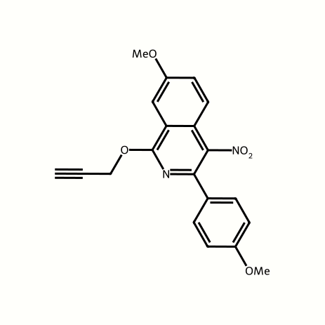 C#CCOc1nc(-c2ccc(OC)cc2)c([N+](=O)[O-])c2ccc(OC)cc12